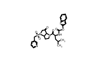 CC(C)CC(NC(=O)Oc1cc2ccccc2s1)C(=O)N1CCC2C1C(=O)CN2S(=O)(=O)Cc1cccnc1